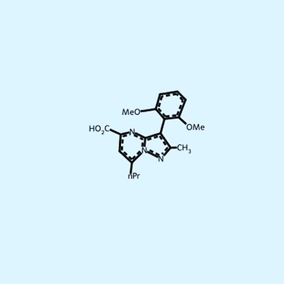 CCCc1cc(C(=O)O)nc2c(-c3c(OC)cccc3OC)c(C)nn12